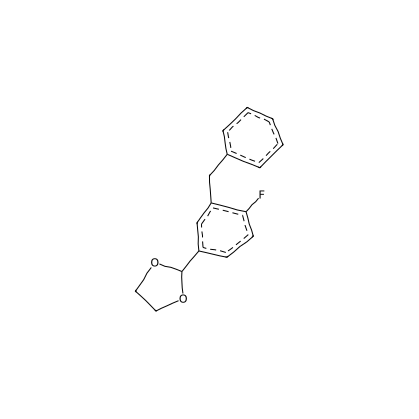 Fc1ccc(C2OCCO2)cc1Cc1ccccc1